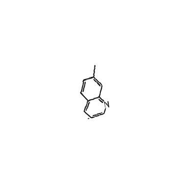 Cc1ccc2c[c]cnc2c1